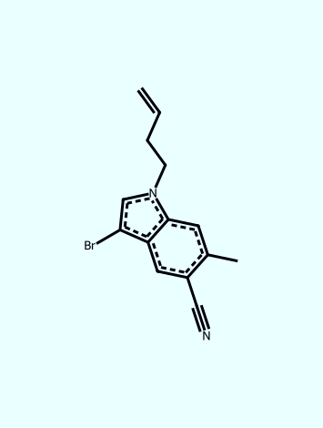 C=CCCn1cc(Br)c2cc(C#N)c(C)cc21